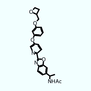 CC(=O)NC(C)c1ccc2nc(-c3ccc(Oc4cccc(OCC5CCO5)c4)cn3)oc2c1